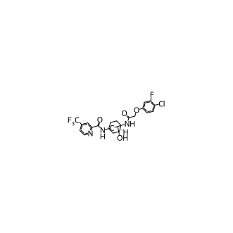 O=C(COc1ccc(Cl)c(F)c1)NC12CCC(NC(=O)c3cc(C(F)(F)F)ccn3)(CC1)C[C@@H]2O